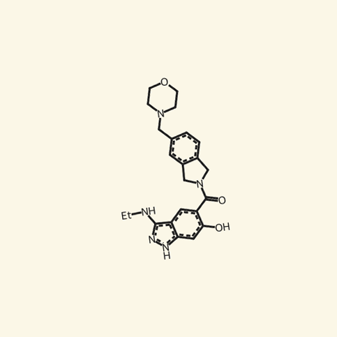 CCNc1n[nH]c2cc(O)c(C(=O)N3Cc4ccc(CN5CCOCC5)cc4C3)cc12